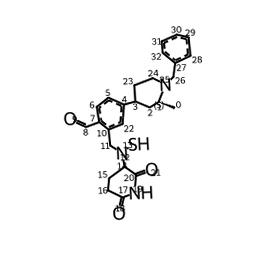 C[C@H]1CC(c2ccc(C=O)c(CN(S)C3CCC(=O)NC3=O)c2)CCN1Cc1ccccc1